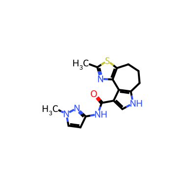 Cc1nc2c(s1)CCCc1[nH]cc(C(=O)Nc3ccn(C)n3)c1-2